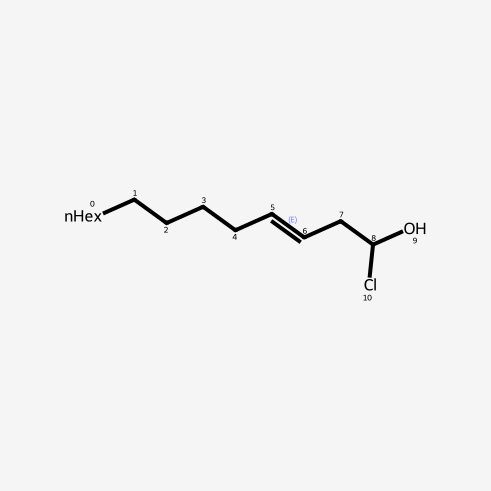 CCCCCCCCCC/C=C/CC(O)Cl